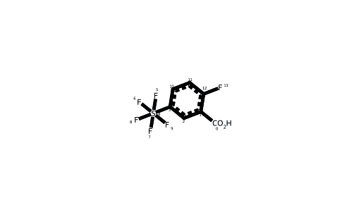 O=C(O)c1cc(S(F)(F)(F)(F)F)ccc1F